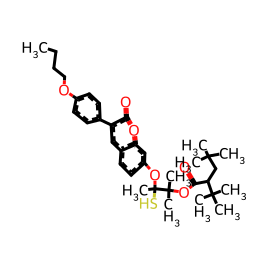 CCCCOc1ccc(-c2cc3ccc(OC(C)(S)C(C)(C)OC(=O)C(CC(C)(C)C)C(C)(C)C)cc3oc2=O)cc1